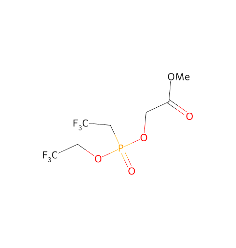 COC(=O)COP(=O)(CC(F)(F)F)OCC(F)(F)F